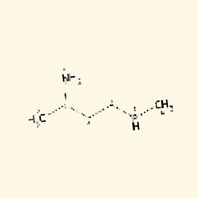 CPCCC(C)N